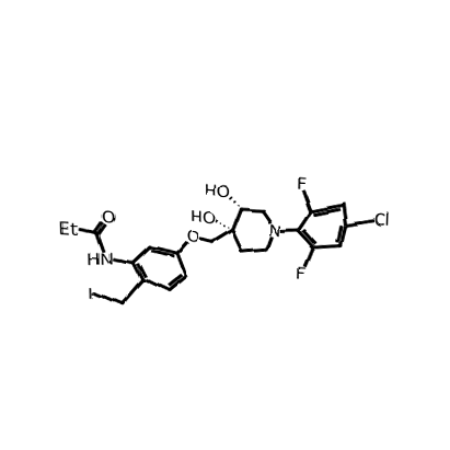 CCC(=O)Nc1cc(OC[C@]2(O)CCN(c3c(F)cc(Cl)cc3F)C[C@H]2O)ccc1CI